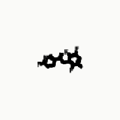 C=C(Cc1c(F)c(C)cc(F)c1F)c1ccc(F)nc1